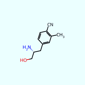 Cc1cc(C[C@@H](N)CO)ccc1C#N